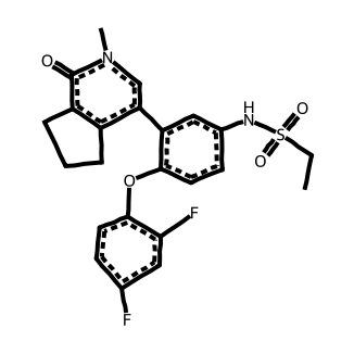 CCS(=O)(=O)Nc1ccc(Oc2ccc(F)cc2F)c(-c2cn(C)c(=O)c3c2CCC3)c1